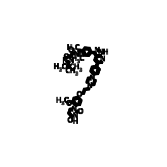 COc1cc(OCCCN2CCN(c3ccc(-c4cnc5[nH]nc(-c6ccc([C@@H](C)NC(=O)c7nc(C(C)(C)C)no7)c(C)c6)c5c4)cc3)CC2)ccc1N1CCC(=O)NC1=O